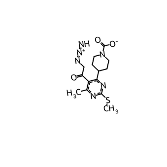 CSc1nc(C)c(C(=O)CN=[N+]=N)c(C2CCN(C(=O)[O-])CC2)n1